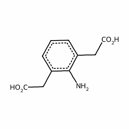 Nc1c(CC(=O)O)cccc1CC(=O)O